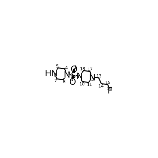 O=S(=O)(N1CCNCC1)N1CCN(CCCF)CC1